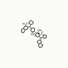 Cc1cc(N(c2ccc3ccccc3c2)c2ccccc2C)ccc1-c1ccc(N(c2ccc3ccccc3c2)c2ccccc2C)cc1C